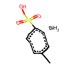 Cc1ccc(S(=O)(=O)O)cc1.[BiH3]